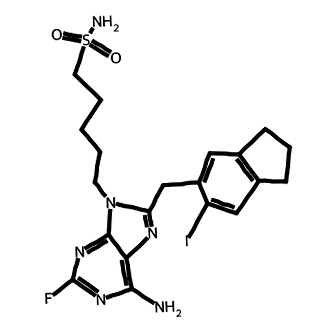 Nc1nc(F)nc2c1nc(Cc1cc3c(cc1I)CCC3)n2CCCCCS(N)(=O)=O